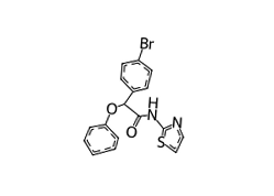 O=C(Nc1nccs1)C(Oc1ccccc1)c1ccc(Br)cc1